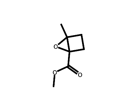 COC(=O)C12CCC1(C)O2